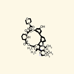 C=C/C(=C(\N=C/C)[C@H](C)OC)c1c2c3cc(ccc3n1CC)-c1cc(O)cc(c1)C[C@H](NC(=O)N1CCOCC1)C(=O)N1CCC[C@H](N1)C(=O)OCC(C)(C)C2